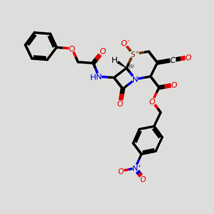 O=C=C1C[S+]([O-])[C@H]2C(NC(=O)COc3ccccc3)C(=O)N2C1C(=O)OCc1ccc([N+](=O)[O-])cc1